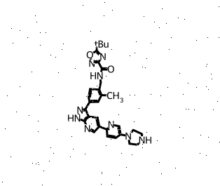 Cc1cc(-c2n[nH]c3ncc(-c4ccc(N5CCNCC5)cn4)cc23)ccc1CNC(=O)c1noc(C(C)(C)C)n1